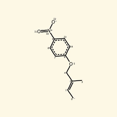 [CH2]/C=C(\C)COc1ccc([N+](=O)[O-])cc1